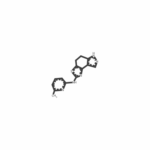 Cc1cccc(Nc2nc3c(s2)CCc2[nH]ncc2-3)n1